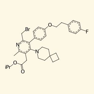 Cc1nc(CBr)c(-c2ccc(OCCc3ccc(F)cc3)cc2)c(N2CCC3(CCC3)CC2)c1CC(=O)OC(C)C